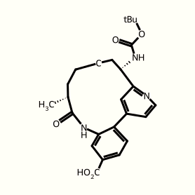 C[C@@H]1CCCC[C@H](NC(=O)OC(C)(C)C)c2cc(ccn2)-c2ccc(C(=O)O)cc2NC1=O